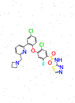 O=S(=O)(Nc1nncs1)c1cc(Cl)c(Oc2ccc(Cl)cc2-c2cccc(CN3CCC3)n2)cc1F